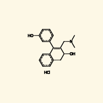 CN(C)CC1=C(c2cccc(O)c2)c2ccccc2CC1O.Cl